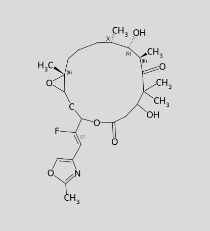 Cc1nc(/C=C(\F)C2CC3O[C@]3(C)CCC[C@H](C)[C@H](O)[C@@H](C)C(=O)C(C)(C)C(O)CC(=O)O2)co1